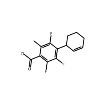 Cc1c(F)c(C2C=CCCC2)c(F)c(F)c1C(=O)Cl